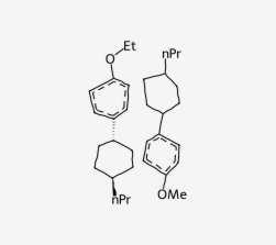 CCCC1CCC(c2ccc(OC)cc2)CC1.CCC[C@H]1CC[C@H](c2ccc(OCC)cc2)CC1